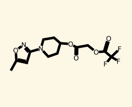 Cc1cc(N2CCC(OC(=O)COC(=O)C(F)(F)F)CC2)no1